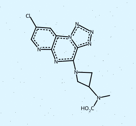 CN(C(=O)O)C1CN(c2nc3ncc(Cl)cc3n3nnnc23)C1